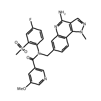 COc1cncc(C(=O)N(Cc2ccc3c(c2)nc(N)c2cnn(C)c23)c2ccc(F)cc2S(C)(=O)=O)c1